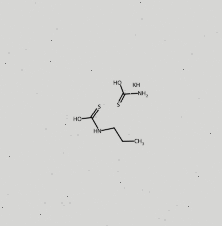 CCCNC(O)=S.NC(O)=S.[KH]